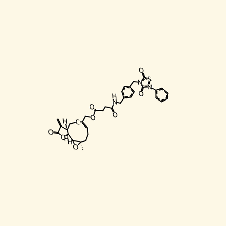 C=C1C(=O)O[C@H]2[C@H]1CC/C(COC(=O)CCC(=O)NCc1ccc(Cn3c(=O)sn(-c4ccccc4)c3=O)cc1)=C\CC[C@@]1(C)O[C@@H]21